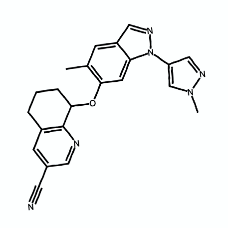 Cc1cc2cnn(-c3cnn(C)c3)c2cc1OC1CCCc2cc(C#N)cnc21